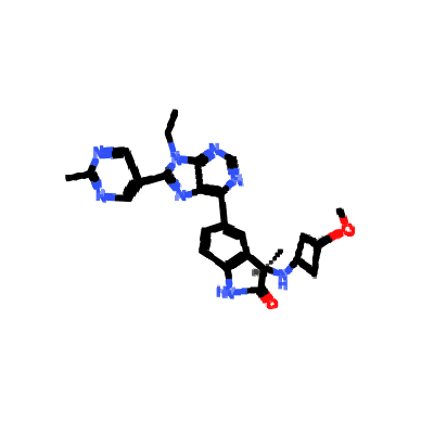 CCn1c(-c2cnc(C)nc2)nc2c(-c3ccc4c(c3)[C@@](C)(NC3CC(OC)C3)C(=O)N4)ncnc21